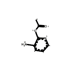 CC(=O)Oc1ncccc1N